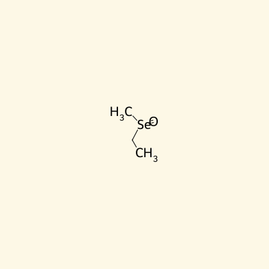 CC[Se](C)=O